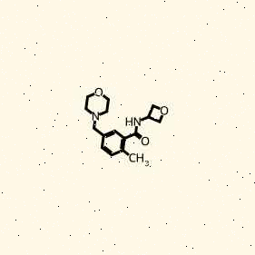 Cc1ccc(CN2CCOCC2)cc1C(=O)NC1COC1